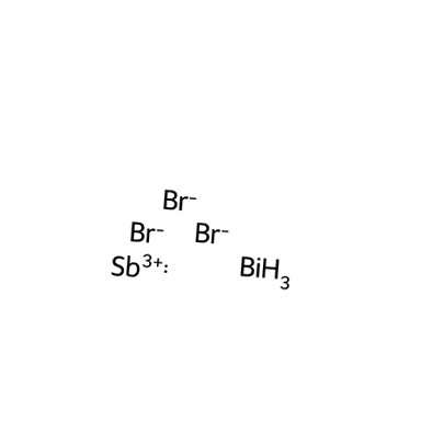 [BiH3].[Br-].[Br-].[Br-].[Sb+3]